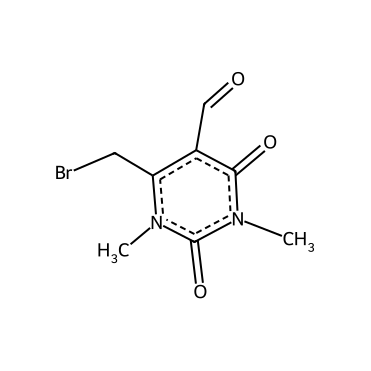 Cn1c(CBr)c(C=O)c(=O)n(C)c1=O